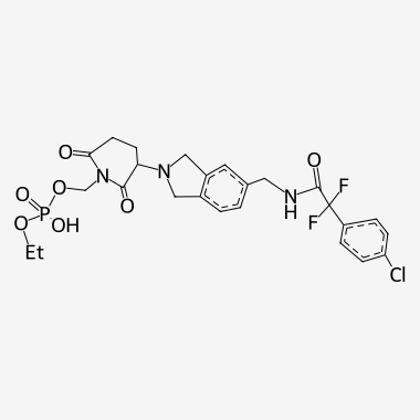 CCOP(=O)(O)OCN1C(=O)CCC(N2Cc3ccc(CNC(=O)C(F)(F)c4ccc(Cl)cc4)cc3C2)C1=O